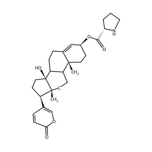 C[C@]12CC[C@H](OC(=O)[C@@H]3CCCN3)C=C1CCC1C2CC[C@]2(C)[C@@H](c3ccc(=O)oc3)CC[C@]12O